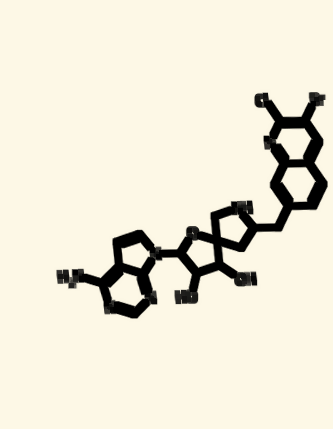 Nc1ncnc2c1ccn2C1OC2(CNC(Cc3ccc4cc(Br)c(Cl)nc4c3)C2)C(O)C1O